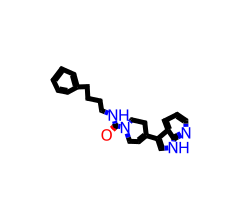 O=C(NCCCCc1ccccc1)N1CC=C(c2c[nH]c3ncccc23)CC1